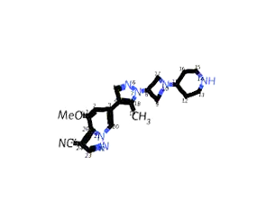 COc1cc(-c2cnn(C3CN(C4CCNCC4)C3)c2C)cn2ncc(C#N)c12